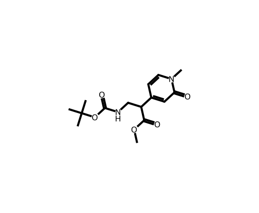 COC(=O)C(CNC(=O)OC(C)(C)C)c1ccn(C)c(=O)c1